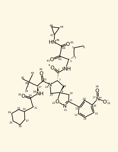 CCC[C@H](NC(=O)[C@@H]1C[C@]2(CC(c3cccc([N+](=O)[O-])c3)=NO2)CN1C(=O)[C@@H](NC(=O)CC1CCCCC1)C(C)(C)C)C(=O)C(=O)NC1CC1